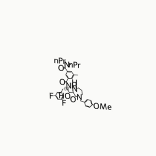 CCCN(CCC)C(=O)c1cc(C)cc(C(=O)N[C@@H](Cc2cc(F)cc(F)c2)C(O)C2NCCCN(Cc3ccc(OC)cc3)C2=O)c1